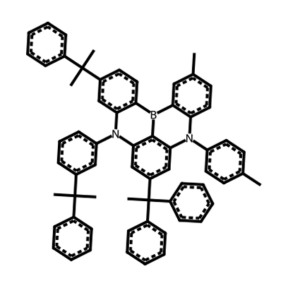 Cc1ccc(N2c3ccc(C)cc3B3c4ccc(C(C)(C)c5ccccc5)cc4N(c4cccc(C(C)(C)c5ccccc5)c4)c4cc(C(C)(c5ccccc5)c5ccccc5)cc2c43)cc1